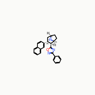 CN1[C@@H]2CC[C@H]1[C@@H](c1nc(-c3ccccc3)no1)[C@H](c1ccc3ccccc3c1)C2